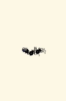 Cn1c(Nc2cccc(C(C)(C)C)c2)nc2cc(Oc3ccnc(/C=N\O)c3)ccc21